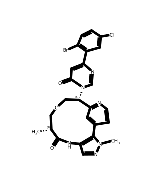 C[C@@H]1CCC[C@H](n2cnc(-c3cc(Cl)ccc3Br)cc2=O)c2cc(ccn2)-c2c(cnn2C)NC1=O